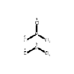 ClP(Cl)Cl.ClSCl